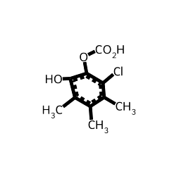 Cc1c(C)c(O)c(OC(=O)O)c(Cl)c1C